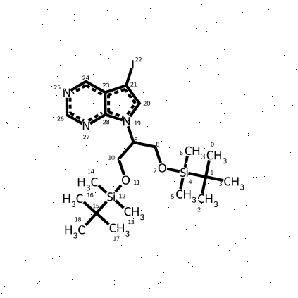 CC(C)(C)[Si](C)(C)OCC(CO[Si](C)(C)C(C)(C)C)n1cc(I)c2cncnc21